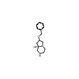 c1ccc(COC2C[C@H]3CNCCN3C2)cc1